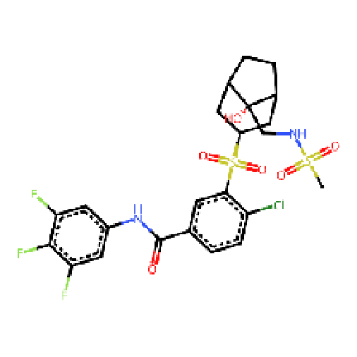 CS(=O)(=O)NC[C@]1(O)C2CCC1C[C@H](S(=O)(=O)c1cc(C(=O)Nc3cc(F)c(F)c(F)c3)ccc1Cl)C2